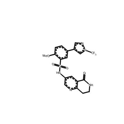 COc1ccc(-c2cnn(C(F)(F)F)c2)cc1S(=O)(=O)Nc1cnc2c(c1)C(=O)NCC2